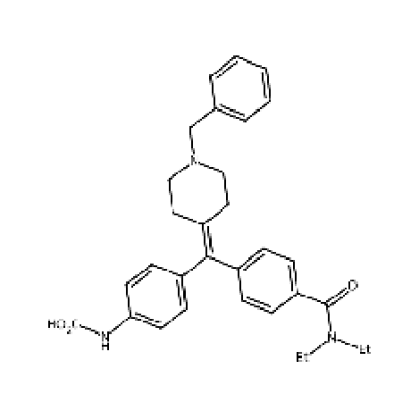 CCN(CC)C(=O)c1ccc(C(=C2CCN(Cc3ccccc3)CC2)c2ccc(NC(=O)O)cc2)cc1